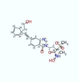 C[C@@](CCn1cnc2cc(C#CC3(CCO)C=CC=CC3)ccc2c1=O)(C(=O)NO)S(C)(=O)=O